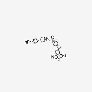 CCCc1ccc(C2CCN(CCC(=O)N3CCC(Oc4ccc([N+](=O)[O-])c(OCC)c4)CC3)CC2)cc1